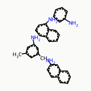 Cc1cc(C)cc(N)c1.Nc1ccc2ccccc2c1.Nc1cccc2ccccc12.Nc1ccccc1